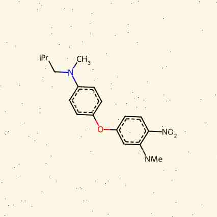 CNc1cc(Oc2ccc(N(C)CC(C)C)cc2)ccc1[N+](=O)[O-]